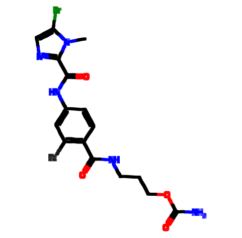 CCc1cc(NC(=O)c2ncc(Br)n2C)ccc1C(=O)NCCCOC(N)=O